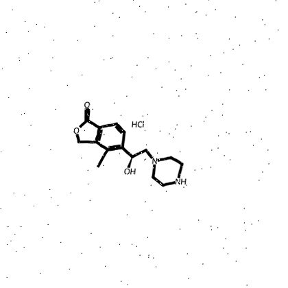 Cc1c([C@H](O)CN2CCNCC2)ccc2c1COC2=O.Cl